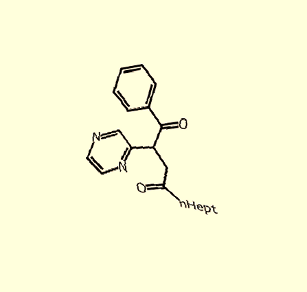 CCCCCCCC(=O)CC(C(=O)c1ccccc1)c1cnccn1